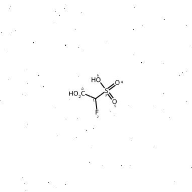 O=C(O)C(F)S(=O)(=O)O